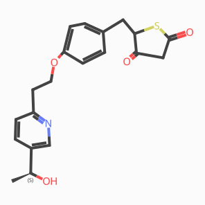 C[C@H](O)c1ccc(CCOc2ccc(CC3SC(=O)CC3=O)cc2)nc1